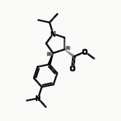 COC(=O)[C@H]1CN(C(C)C)C[C@@H]1c1ccc(N(C)C)cc1